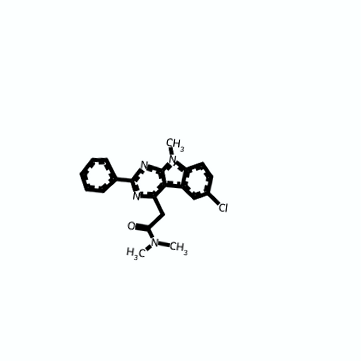 CN(C)C(=O)Cc1nc(-c2ccccc2)nc2c1c1cc(Cl)ccc1n2C